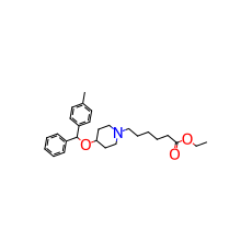 CCOC(=O)CCCCCN1CCC(OC(c2ccccc2)c2ccc(C)cc2)CC1